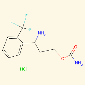 Cl.NC(=O)OCCC(N)c1ccccc1C(F)(F)F